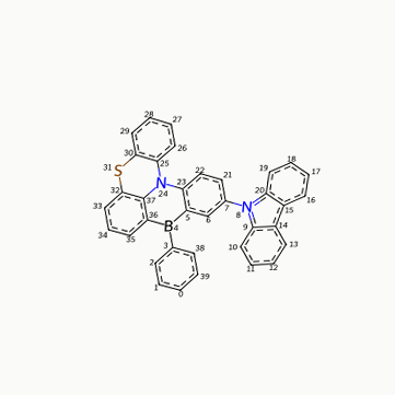 c1ccc(B2c3cc(-n4c5ccccc5c5ccccc54)ccc3N3c4ccccc4Sc4cccc2c43)cc1